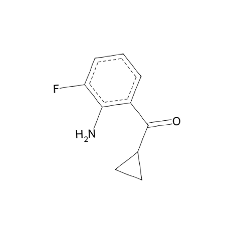 Nc1c(F)cccc1C(=O)C1CC1